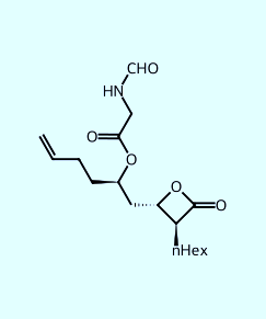 C=CCC[C@H](C[C@@H]1OC(=O)[C@H]1CCCCCC)OC(=O)CNC=O